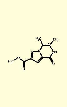 COC(=O)c1cc2n(n1)C(C)[C@@H](C)NC2=O